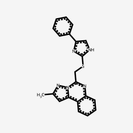 Cc1cc2c3ccccc3nc(CSc3nc(-c4ccccc4)c[nH]3)n2n1